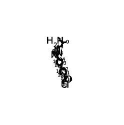 CC(N)CCn1cnc(-c2ccc(C3=CCN(C(=O)CCl)CC3)cc2)n1